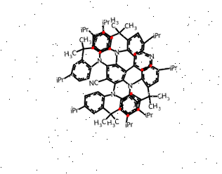 CC(C)c1ccc2c(c1)C(C)(C)c1cc(C(C)C)ccc1N2c1c(C#N)c(N2c3ccc(C(C)C)cc3C(C)(C)c3cc(C(C)C)ccc32)c(N2c3ccc(C(C)C)cc3C(C)(C)c3cc(C(C)C)ccc32)c(-c2ccncc2)c1N1c2ccc(C(C)C)cc2C(C)(C)c2cc(C(C)C)ccc21